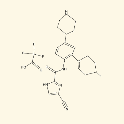 CC1CC=C(c2cc(C3CCNCC3)ccc2NC(=O)c2nc(C#N)c[nH]2)CC1.O=C(O)C(F)(F)F